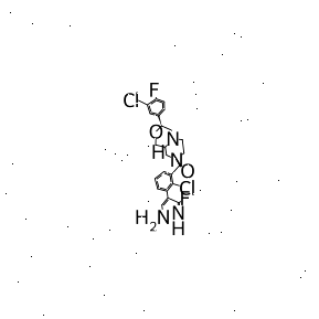 N=C(F)/C(=C\N)c1cccc(C(=O)N2CCN3C[C@H](c4ccc(F)c(Cl)c4)OC[C@@H]3C2)c1Cl